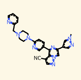 Cn1cc(-c2cn3ncc(C#N)c3c(-c3ccc(N4CCN(Cc5ccccn5)CC4)nc3)n2)cn1